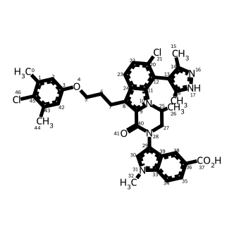 Cc1cc(OCCCc2c3n(c4c(-c5c(C)n[nH]c5C)c(Cl)ccc24)C(C)CN(c2cn(C)c4ccc(C(=O)O)cc24)C3=O)cc(C)c1Cl